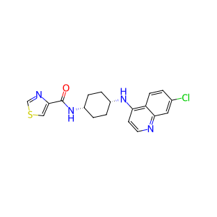 O=C(N[C@H]1CC[C@@H](Nc2ccnc3cc(Cl)ccc23)CC1)c1cscn1